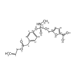 C=CCOC(=O)Cc1ccc(OP(=O)(NC)OCc2ccc([N+](=O)[O-])o2)cc1